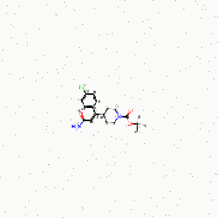 CC(C)(C)OC(=O)N1CCC(/C(=C/C(N)=O)c2ccc(Cl)cc2)CC1